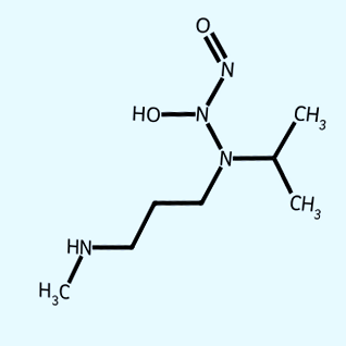 CNCCCN(C(C)C)N(O)N=O